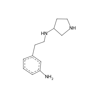 Nc1cccc(CCNC2CCNC2)c1